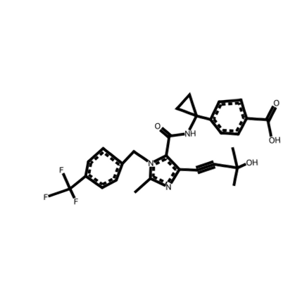 Cc1nc(C#CC(C)(C)O)c(C(=O)NC2(c3ccc(C(=O)O)cc3)CC2)n1Cc1ccc(C(F)(F)F)cc1